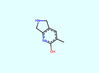 Cc1cc2c(nc1O)CNC2